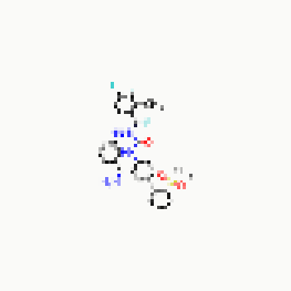 Cc1c(C(F)N(Nc2cccc(CN)c2)C(=O)Nc2ccc(-c3ccccc3S(C)(=O)=O)cc2)ccc(F)c1F